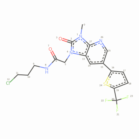 Cn1c(=O)n(CC(=O)NCCCCl)c2cc(-c3ccc(C(F)(F)F)s3)cnc21